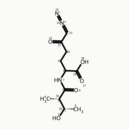 C[C@H](O)[C@H](C)C(=O)NC(CCC(=O)C=[N+]=[N-])C(=O)O